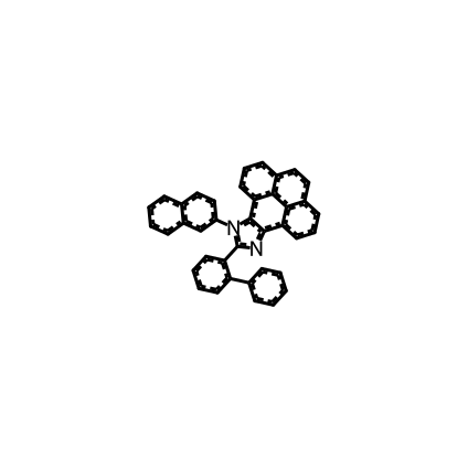 c1ccc(-c2ccccc2-c2nc3c4cccc5ccc6cccc(c6c54)c3n2-c2ccc3ccccc3c2)cc1